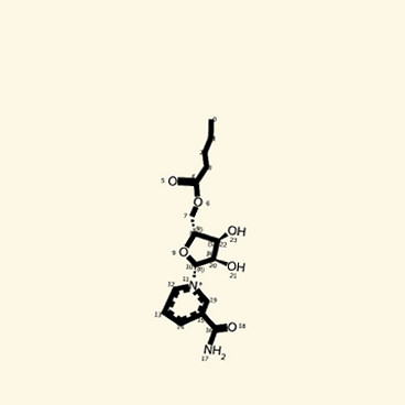 CCCCC(=O)OC[C@H]1O[C@@H]([n+]2cccc(C(N)=O)c2)[C@H](O)[C@@H]1O